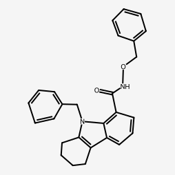 O=C(NOCc1ccccc1)c1cccc2c3c(n(Cc4ccccc4)c12)CCCC3